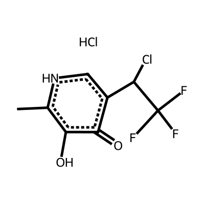 Cc1[nH]cc(C(Cl)C(F)(F)F)c(=O)c1O.Cl